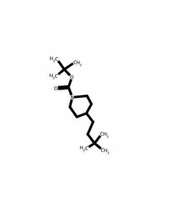 CC(C)(C)CCC1CCN(C(=O)OC(C)(C)C)CC1